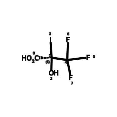 O=C(O)[C@](O)(I)C(F)(F)F